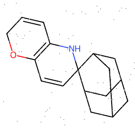 C1=CC2=C(C=CC3(N2)C2CC4CC(C2)CC3C4)OC1